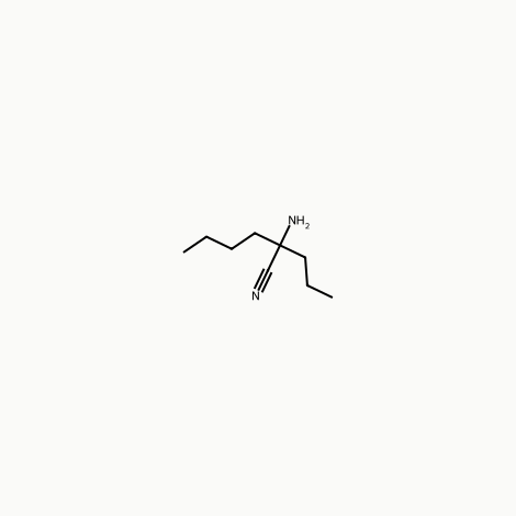 CCCCC(N)(C#N)CCC